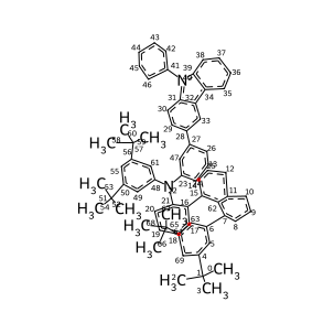 CC(C)(C)c1cc(-c2cccc3cccc(-c4ccccc4N(c4cccc(-c5ccc6c(c5)c5ccccc5n6-c5ccccc5)c4)c4cc(C(C)(C)C)cc(C(C)(C)C)c4)c23)cc(C(C)(C)C)c1